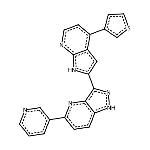 c1cncc(-c2ccc3[nH]nc(-c4cc5c(-c6ccsc6)ccnc5[nH]4)c3n2)c1